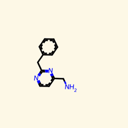 NCc1ccnc(Cc2ccccc2)n1